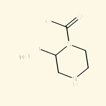 Cl.O=C(Cl)N1CCNCC1I